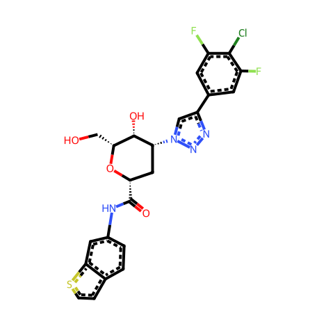 O=C(Nc1ccc2ccsc2c1)[C@H]1C[C@@H](n2cc(-c3cc(F)c(Cl)c(F)c3)nn2)[C@@H](O)[C@@H](CO)O1